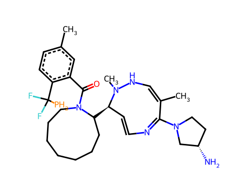 CC1=C/NN(C)[C@H](C2CCCCCCCN2C(=O)c2cc(C)ccc2C(F)(F)P)/C=C/N=C\1N1CC[C@H](N)C1